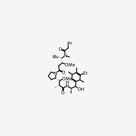 CCC1=C(C)C(C)C=C(C(O)[C@@H](C)NC(=O)[C@H](C)C(OC)[C@@H]2CCCN2C(=O)CC(OC)[C@H]([C@@H](C)CC)N(C)C(=O)CC(C)C)C1C